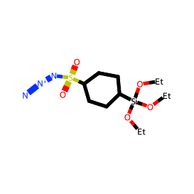 CCO[Si](OCC)(OCC)C1CCC(S(=O)(=O)N=[N+]=[N-])CC1